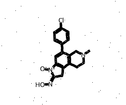 CN1CCc2c(c(-c3ccc(Cl)cc3)cc3c2CC(=NO)[N+]3[O-])C1